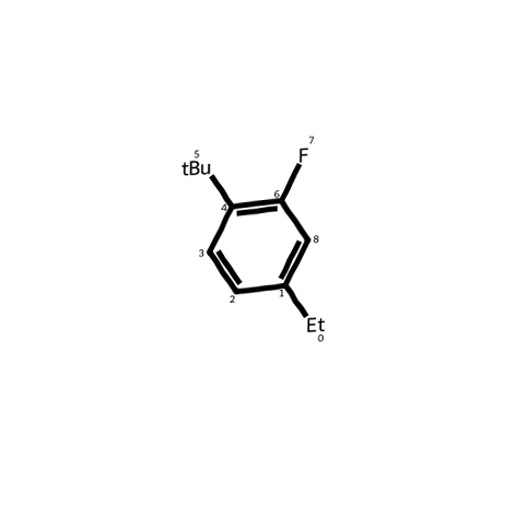 [CH2]Cc1ccc(C(C)(C)C)c(F)c1